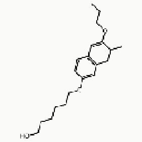 CCCOC1=Cc2ccc(OCCCCCCO)cc2CC1C